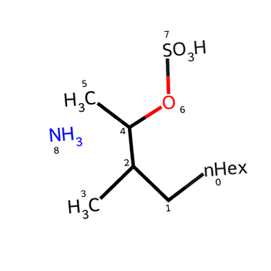 CCCCCCCC(C)C(C)OS(=O)(=O)O.N